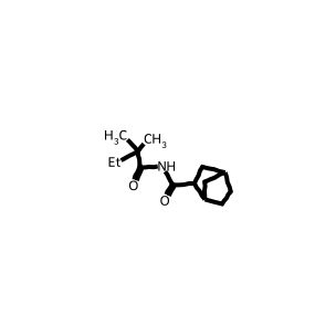 CCC(C)(C)C(=O)NC(=O)C1CC2CCC1C2